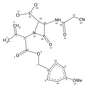 C=C(C)C(C(=O)OCc1ccc(OC)cc1)N1C(=O)C(NC(=O)CC#N)C1[S+]([O-])Cl